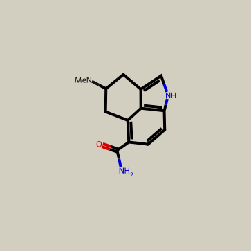 CNC1Cc2c[nH]c3ccc(C(N)=O)c(c23)C1